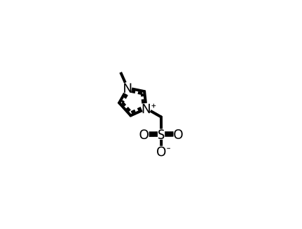 Cn1cc[n+](CS(=O)(=O)[O-])c1